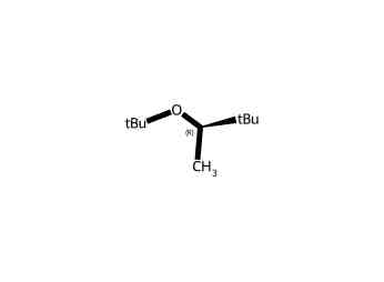 C[C@@H](OC(C)(C)C)C(C)(C)C